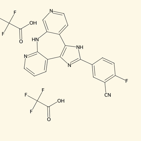 N#Cc1cc(-c2nc3c([nH]2)-c2ccncc2Nc2ncccc2-3)ccc1F.O=C(O)C(F)(F)F.O=C(O)C(F)(F)F